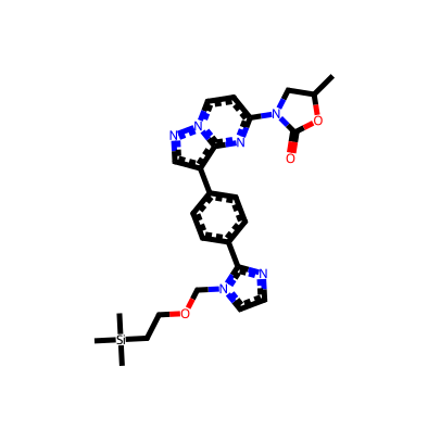 CC1CN(c2ccn3ncc(-c4ccc(-c5nccn5COCC[Si](C)(C)C)cc4)c3n2)C(=O)O1